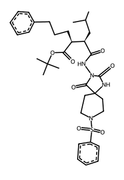 CC(C)C[C@@H](C(=O)NN1C(=O)NC2(CCN(S(=O)(=O)c3ccccc3)CC2)C1=O)[C@H](CCCc1ccccc1)C(=O)OC(C)(C)C